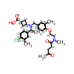 CC(=O)CCC(=O)N(C)CCOc1ccc(CN(C(C)c2ccc(Cl)c(C)c2)[C@H]2C[C@@H](C(=O)O)C2)cc1C